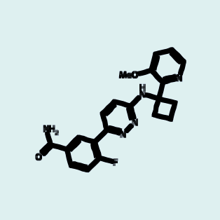 COc1cccnc1C1(Nc2ccc(-c3cc(C(N)=O)ccc3F)nn2)CCC1